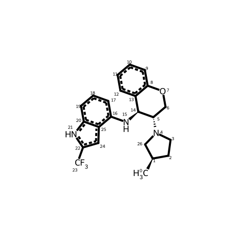 C[C@@H]1CCN([C@H]2COc3ccccc3[C@@H]2Nc2cccc3[nH]c(C(F)(F)F)cc23)C1